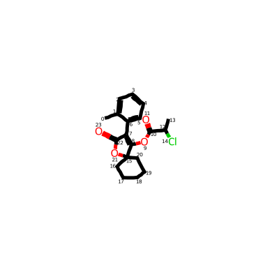 Cc1ccccc1C1=C(OC(=O)C(C)Cl)C2(CCCCC2)OC1=O